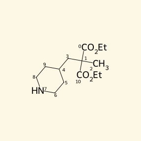 CCOC(=O)C(C)(CC1CCNCC1)C(=O)OCC